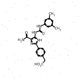 Cc1cc(C)cc(NC(=O)Nc2[nH]c(-c3ccc(CC(=O)O)cc3)nc2C(N)=O)c1